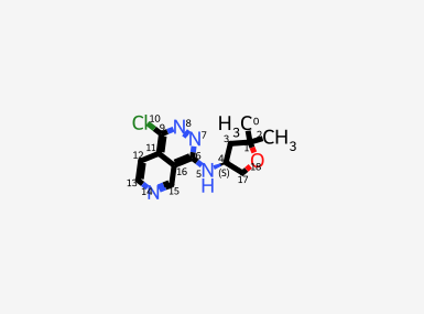 CC1(C)C[C@H](Nc2nnc(Cl)c3ccncc23)CO1